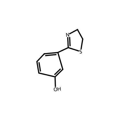 Oc1cccc(C2=NCCS2)c1